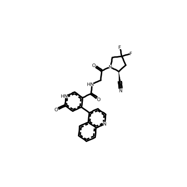 N#C[C@@H]1CC(F)(F)CN1C(=O)CNC(=O)c1c[nH]c(=O)cc1-c1ccnc2ccccc12